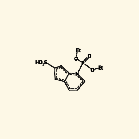 CCOP(=O)(OCC)n1cccc2cc(S(=O)(=O)O)cc1-2